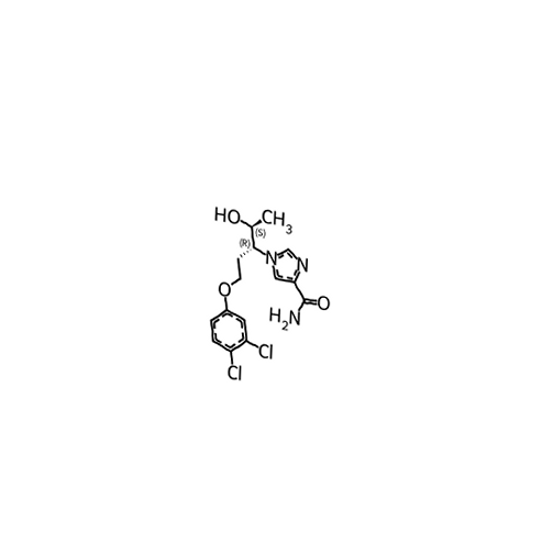 C[C@H](O)[C@@H](CCOc1ccc(Cl)c(Cl)c1)n1cnc(C(N)=O)c1